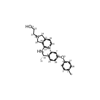 Cc1ccc(Oc2ccc([C@H](C)Nc3nccc4c3CN(CCO)C4)cc2)cc1